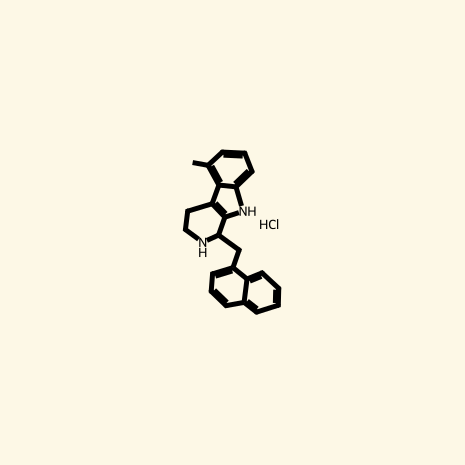 Cc1cccc2[nH]c3c(c12)CCNC3Cc1cccc2ccccc12.Cl